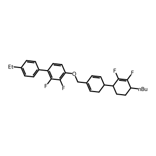 CCCCC1CCC(C2C=CC(COc3ccc(-c4ccc(CC)cc4)c(F)c3F)=CC2)C(F)=C1F